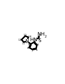 NC(=S)Nc1ccccc1N1CCCC1